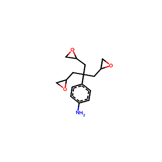 Nc1ccc(C(CC2CO2)(CC2CO2)CC2CO2)cc1